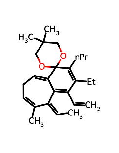 C=CC1=C2C(=CCC=C(C)/C2=C/C)C2(OCC(C)(C)CO2)C(CCC)=C1CC